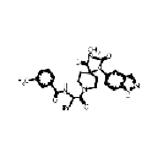 CC(C)C(NC(=O)c1cccc(C(F)(F)F)c1)C(=O)N1CCC2(CC1)C(=O)N(C)C(=O)N2c1ccc2[nH]ncc2c1